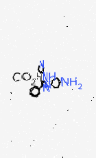 NC1CCC(n2nc(-c3ccccc3)cc2Nc2cnccc2C(=O)O)CC1